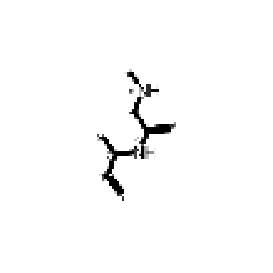 C=CC(C)NC(=C)CNC